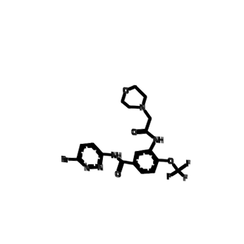 O=C(CN1CCOCC1)Nc1cc(C(=O)Nc2ccc(Br)nn2)ccc1OC(F)(F)F